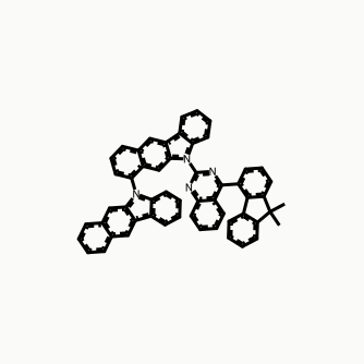 CC1(C)c2ccccc2-c2c(-c3nc(-n4c5ccccc5c5cc6cccc(-n7c8ccccc8c8cc9ccccc9cc87)c6cc54)nc4ccccc34)cccc21